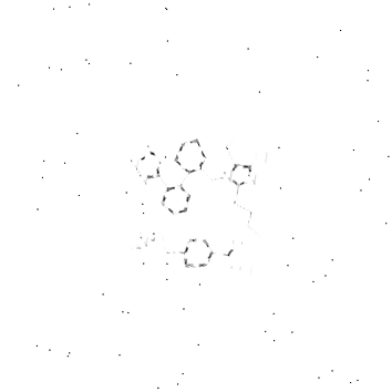 CCCCc1nc(Cl)c(CO)n1Cc1ccccc1-c1ccccc1-c1nnn[nH]1.O=C(O)c1ccc(CO[N+](=O)[O-])cc1